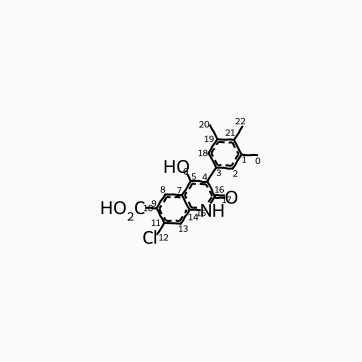 Cc1cc(-c2c(O)c3cc(C(=O)O)c(Cl)cc3[nH]c2=O)cc(C)c1C